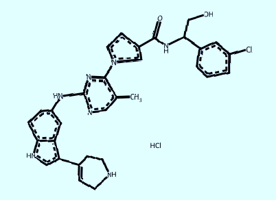 Cc1cnc(Nc2ccc3[nH]cc(C4=CCNCC4)c3c2)nc1-n1ccc(C(=O)NC(CO)c2cccc(Cl)c2)c1.Cl